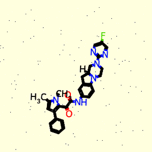 Cc1cc(-c2ccccc2)c(C(=O)C(=O)Nc2ccc3c(c2)C[C@@H]2CN(c4ncc(F)cn4)CCN32)n1C